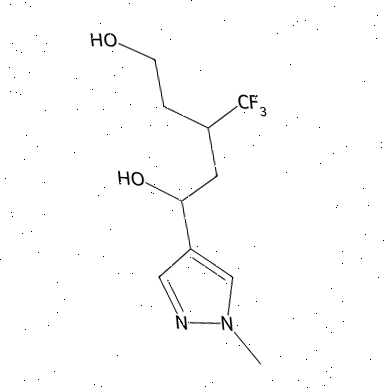 Cn1cc(C(O)CC(CCO)C(F)(F)F)cn1